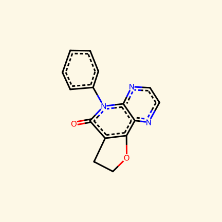 O=c1c2c(c3nccnc3n1-c1ccccc1)OCC2